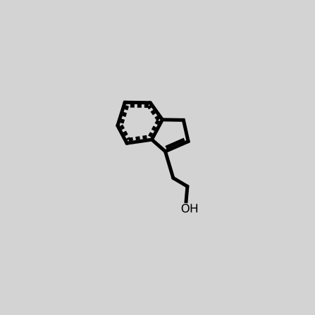 OCCC1=CCc2ccccc21